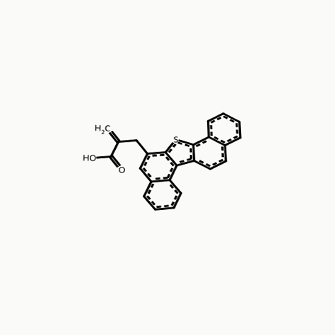 C=C(Cc1cc2ccccc2c2c1sc1c3ccccc3ccc12)C(=O)O